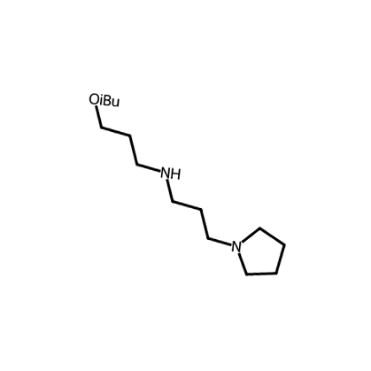 CC(C)COCCCNCCCN1CCCC1